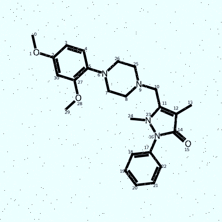 COc1ccc(N2CCN(Cc3c(C)c(=O)n(-c4ccccc4)n3C)CC2)c(OC)c1